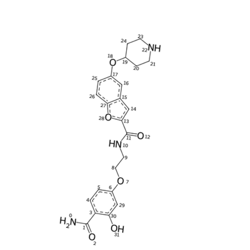 NC(=O)c1ccc(OCCNC(=O)c2cc3cc(OC4CCNCC4)ccc3o2)cc1O